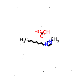 CCCCCCCCN1C=CN(C)C1.O=C(O)O